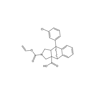 C=COC(=O)N1CC2C3(c4cccc(Cl)c4)CCC(c4ccccc43)C2(C(=O)O)C1